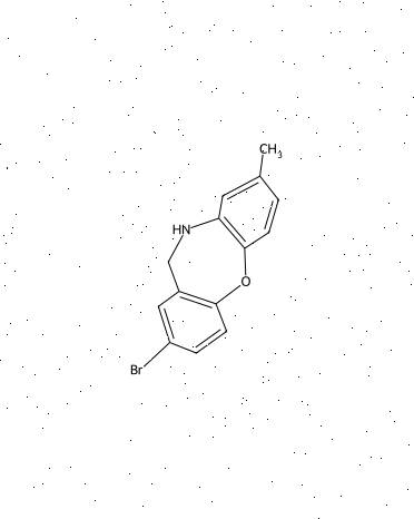 Cc1ccc2c(c1)NCc1cc(Br)ccc1O2